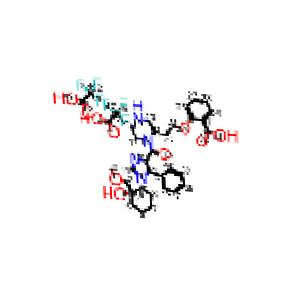 COC[C@]1(O)CCCC[C@H]1n1cnc(C(=O)N2CCNC[C@H]2CCOc2ccccc2C(=O)O)c1-c1ccccc1.O=C(O)C(F)(F)F.O=C(O)C(F)(F)F